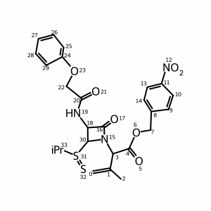 C=C(C)C(C(=O)OCc1ccc([N+](=O)[O-])cc1)N1C(=O)C(NC(=O)COc2ccccc2)C1S(=S)C(C)C